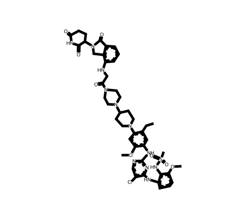 CCc1cc(Nc2ncc(Cl)c(Nc3cccc(OC)c3NS(C)(=O)=O)n2)c(OC)cc1N1CCC(N2CCN(C(=O)CNc3cccc4c3CN(C3CCC(=O)NC3=O)C4=O)CC2)CC1